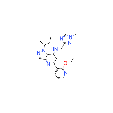 CCOc1ncccc1-c1cc(NCc2ncn(C)n2)c2c(cnn2[C@@H](C)CC)n1